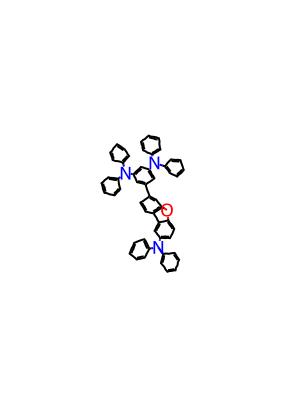 c1ccc(N(c2ccccc2)c2cc(-c3ccc4c(c3)oc3ccc(N(c5ccccc5)c5ccccc5)cc34)cc(N(c3ccccc3)c3ccccc3)c2)cc1